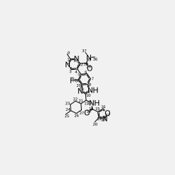 Cc1ncc(-c2ccc3[nH]c(C(NC(=O)c4conc4C)C4CCC(C)CC4)nc3c2F)c(C(=O)N(C)C)n1